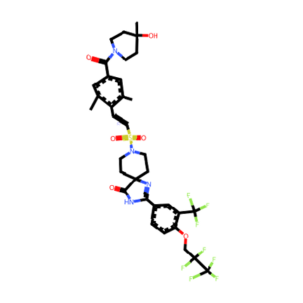 Cc1cc(C(=O)N2CCC(C)(O)CC2)cc(C)c1/C=C/S(=O)(=O)N1CCC2(CC1)N=C(c1ccc(OCC(F)(F)C(F)(F)F)c(C(F)(F)F)c1)NC2=O